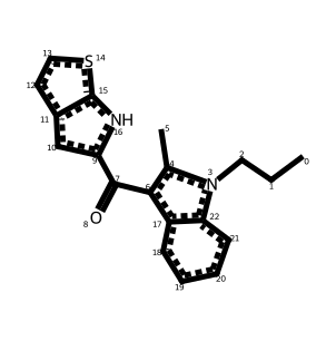 CCCn1c(C)c(C(=O)c2cc3ccsc3[nH]2)c2ccccc21